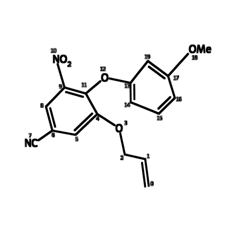 C=CCOc1cc(C#N)cc([N+](=O)[O-])c1Oc1cccc(OC)c1